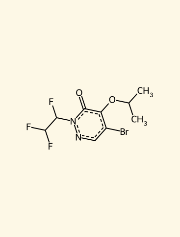 CC(C)Oc1c(Br)cnn(C(F)C(F)F)c1=O